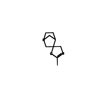 CC1=NCC2(CN3CCC2C3)O1